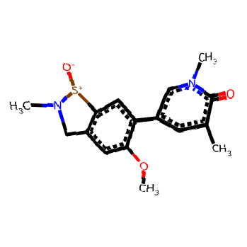 COc1cc2c(cc1-c1cc(C)c(=O)n(C)c1)[S+]([O-])N(C)C2